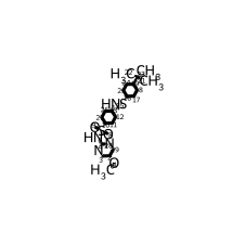 COc1cnc(NS(=O)(=O)c2ccc(NSc3ccc(C(C)(C)C)cc3)cc2)nc1